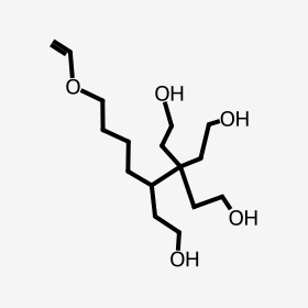 C=COCCCCC(CCO)C(CCO)(CCO)CCO